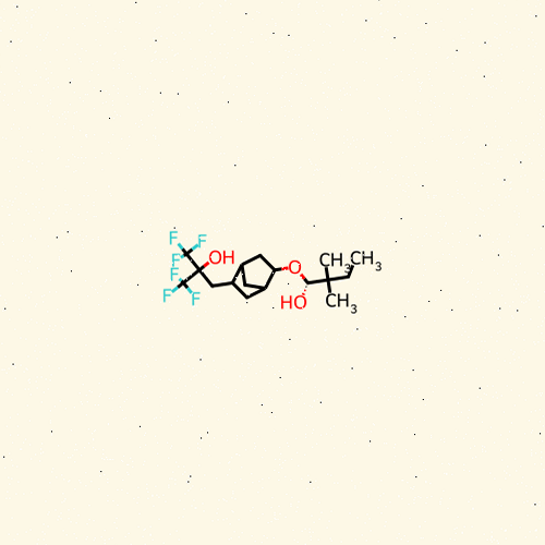 CCC(C)(C)[C@H](O)OC1CC2CC1CC2CC(O)(C(F)(F)F)C(F)(F)F